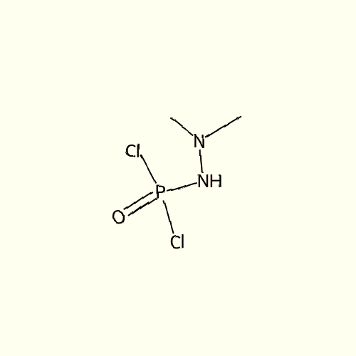 CN(C)NP(=O)(Cl)Cl